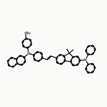 CC(C)(C)c1ccc(N(c2ccc(/C=C/c3ccc4c(c3)C(C)(C)c3cc(N(c5ccccc5)c5ccccc5)ccc3-4)cc2)c2ccc3ccccc3c2)cc1